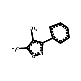 Cc1onc(-c2ccccc2)c1C